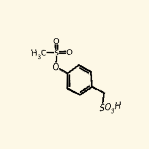 CS(=O)(=O)Oc1ccc(CS(=O)(=O)O)cc1